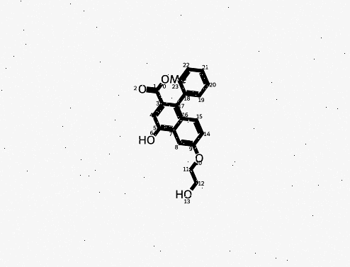 COC(=O)c1cc(O)c2cc(OCCO)ccc2c1-c1ccccc1